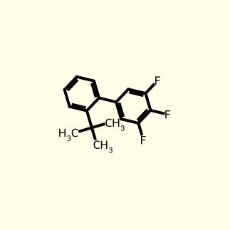 CC(C)(C)c1ccccc1-c1cc(F)c(F)c(F)c1